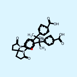 CC(C)(c1ccc(C(=O)O)cc1)c1ccc(N2C(=O)CCC23CCC(=O)N3c2ccc(C(C)(C)c3ccc(C(=O)O)cc3)cc2)cc1